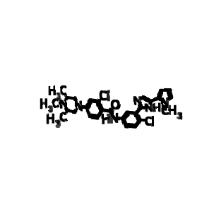 C[C@@H]1CN(c2ccc(C(=O)Nc3ccc(Cl)c(-c4ncc(-c5cccn5C)[nH]4)c3)c(Cl)c2)C[C@H](C)N1C